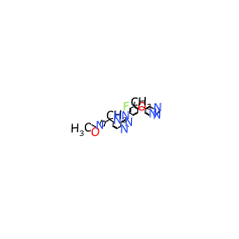 CCC(=O)N1CC([C@H](C)c2ccc3ncnc(Nc4ccc(Oc5ccn6ncnc6c5)c(C)c4F)c3n2)C1